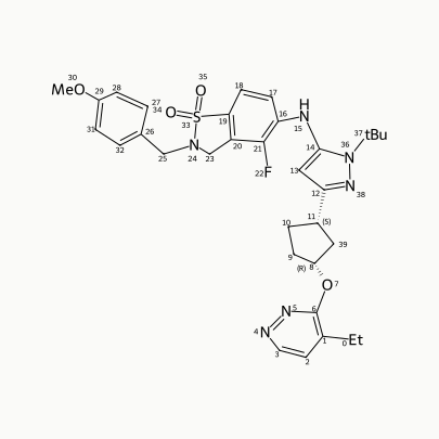 CCc1ccnnc1O[C@@H]1CC[C@H](c2cc(Nc3ccc4c(c3F)CN(Cc3ccc(OC)cc3)S4(=O)=O)n(C(C)(C)C)n2)C1